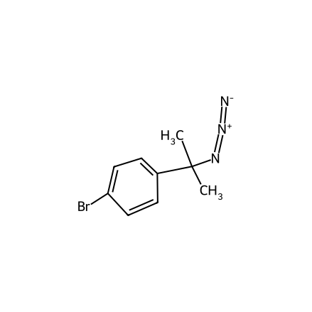 CC(C)(N=[N+]=[N-])c1ccc(Br)cc1